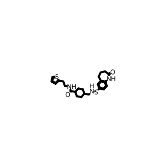 O=C1CCCc2cc(SNCC3CCC(C(=O)NCCc4cccs4)CC3)ccc2N1